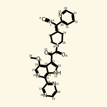 [C-]#[N+]C(=C1CCN(C(=O)C(=O)c2c[nH]c3c(-c4cnccn4)ncc(OC)c23)CC1)c1ccccn1